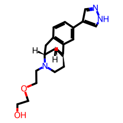 OCCOCCN1CC[C@]23CCCC[C@H]2[C@H]1Cc1ccc(-c2cn[nH]c2)cc13